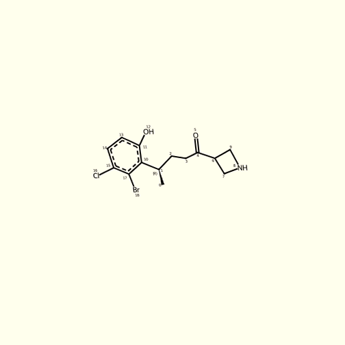 C[C@H](CCC(=O)C1CNC1)c1c(O)ccc(Cl)c1Br